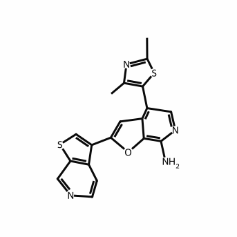 Cc1nc(C)c(-c2cnc(N)c3oc(-c4csc5cnccc45)cc23)s1